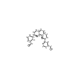 O=Cc1cccc(-c2ccc3ccc4ccc(-c5cccc(C=O)c5)nc4c3n2)c1